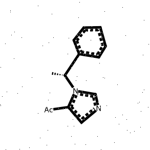 CC(=O)c1cncn1[C@H](C)c1ccccc1